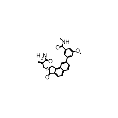 C=C(CN1Cc2c(ccc3ccc(-c4cc(OC)cc(C(=O)NC)c4)cc23)C1=O)C(N)=O